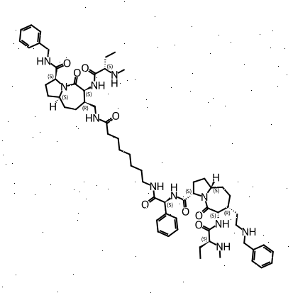 CC[C@H](NC)C(=O)N[C@@H]1C(=O)N2[C@@H](CC[C@@H]1CNC(=O)CCCCCCCNC(=O)[C@@H](NC(=O)[C@@H]1CC[C@@H]3CC[C@H](CCNCc4ccccc4)[C@H](NC(=O)[C@H](CC)NC)C(=O)N31)c1ccccc1)CC[C@H]2C(=O)NCc1ccccc1